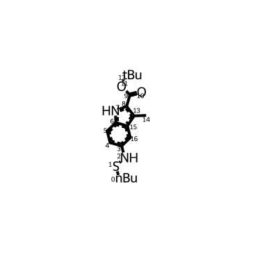 CCCCSNc1ccc2[nH]c(C(=O)OC(C)(C)C)c(C)c2c1